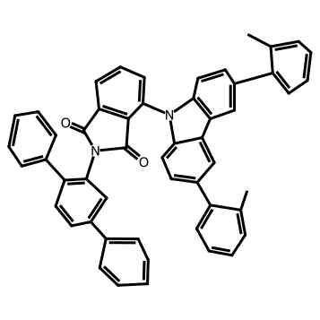 Cc1ccccc1-c1ccc2c(c1)c1cc(-c3ccccc3C)ccc1n2-c1cccc2c1C(=O)N(c1cc(-c3ccccc3)ccc1-c1ccccc1)C2=O